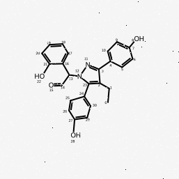 CCc1c(-c2ccc(O)cc2)nn(C(C=O)c2ccccc2O)c1-c1ccc(O)cc1